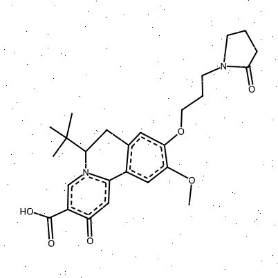 COc1cc2c(cc1OCCCN1CCCC1=O)CC(C(C)(C)C)n1cc(C(=O)O)c(=O)cc1-2